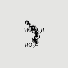 O=BCCc1ccc(OC2CN(C(=O)Cc3cn(CC(=O)O)nn3)C2)c(C(=O)O)c1O